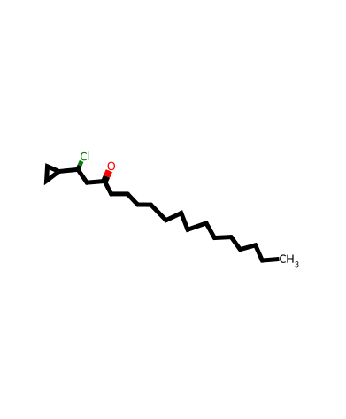 CCCCCCCCCCCCCCC(=O)CC(Cl)C1CC1